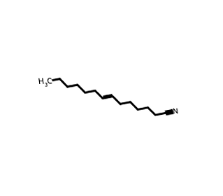 CCCCCCC=CCCCCCC#N